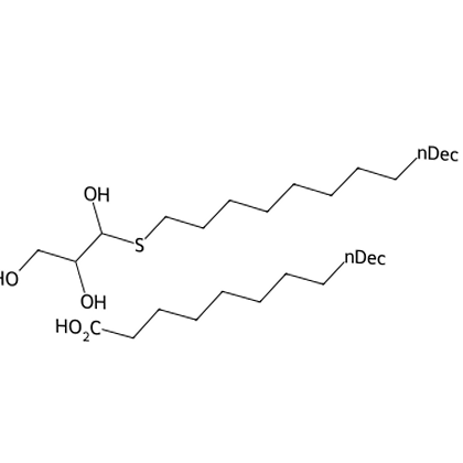 CCCCCCCCCCCCCCCCCC(=O)O.CCCCCCCCCCCCCCCCCCSC(O)C(O)CO